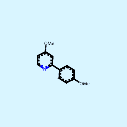 COc1c[c]c(-c2cc(OC)ccn2)cc1